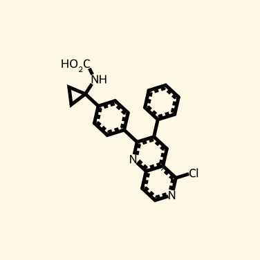 O=C(O)NC1(c2ccc(-c3nc4ccnc(Cl)c4cc3-c3ccccc3)cc2)CC1